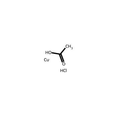 CC(=O)O.Cl.[Cu]